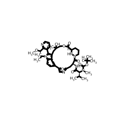 CCn1c(-c2cccnc2[C@H](C)OC)c2c3cc(ccc31)-c1cnc(o1)C[C@H](NC(=O)[C@H](C(C)C)N(C)C(=O)OC(C)(C)C)C(=O)N1CCC[C@H](N1)C(=O)OCC(C)(C)C2